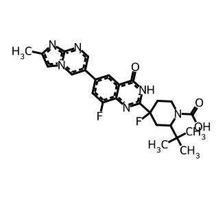 Cc1cn2cc(-c3cc(F)c4nc(C5(F)CCN(C(=O)O)C(C(C)(C)C)C5)[nH]c(=O)c4c3)cnc2n1